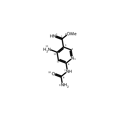 COC(=N)c1cnc(NC(N)=O)cc1N